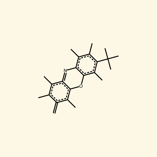 C=c1c(C)c(C)c2c(c1C)Oc1c(C)c(C(C)(C)C)c(C)c(C)c1N=2